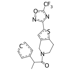 CC(C(=O)N1CCc2sc(-c3noc(C(F)(F)F)n3)cc2C1)c1ccccc1